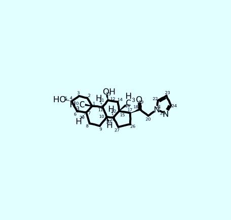 C[C@]12CC[C@@H](O)C[C@@H]1CC[C@@H]1[C@@H]2[C@@H](O)C[C@]2(C)[C@@H](C(=O)Cn3cccn3)CC[C@@H]12